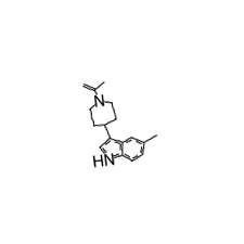 C=C(C)N1CCC(c2c[nH]c3ccc(C)cc23)CC1